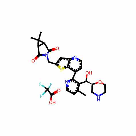 Cc1ccnc(-c2ccnc3cc(CN4C(=O)C5C(C4=O)C5(C)C)sc23)c1C(O)[C@@H]1CNCCO1.O=C(O)C(F)(F)F